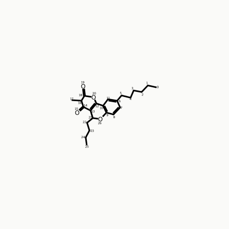 CCCCCCc1ccc2c(c1)C1=C(C(=O)C(C)C(=O)O1)C(CCCC)O2